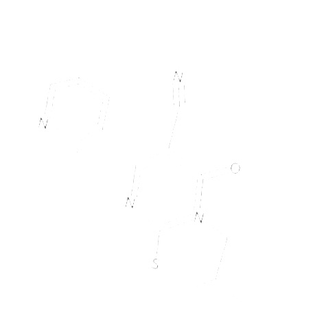 CC1CSc2nc(-c3cccnc3)c(C#N)c(=O)n2C1